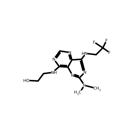 CN(C)c1nc(NCC(F)(F)F)c2ncnc(NCCO)c2n1